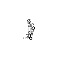 CNC(/C(=N\OCc1cccc(NC(=O)CC2(C)SCCS2)n1)c1ccccc1)N(C)N=N